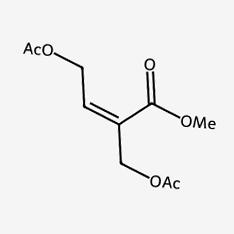 COC(=O)/C(=C\COC(C)=O)COC(C)=O